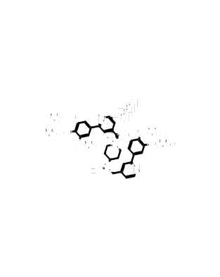 CCN(Cc1ccnc(-c2cc(OC)c(OC)c(OC)c2)c1)C1CCN(Cc2ccnc(-c3cc(OC)c(OC)c(OC)c3)c2)CC1.Cl.Cl.Cl.Cl